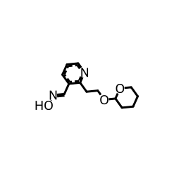 ON=Cc1cccnc1CCOC1CCCCO1